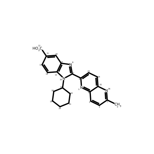 Cc1ccc2nc(-c3nc4cc(C(=O)O)ccc4n3C3CCCCC3)ccc2n1